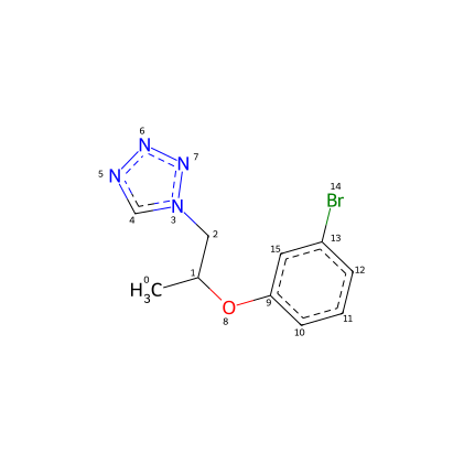 CC(Cn1cnnn1)Oc1cccc(Br)c1